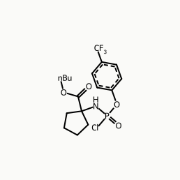 CCCCOC(=O)C1(NP(=O)(Cl)Oc2ccc(C(F)(F)F)cc2)CCCC1